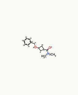 CN(C)C(=O)C1CC(OCc2ccccc2)C1